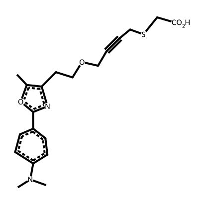 Cc1oc(-c2ccc(N(C)C)cc2)nc1CCOCC#CCSCC(=O)O